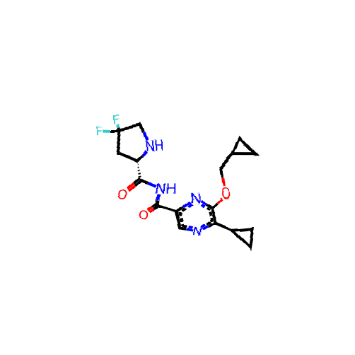 O=C(NC(=O)[C@@H]1CC(F)(F)CN1)c1cnc(C2CC2)c(OCC2CC2)n1